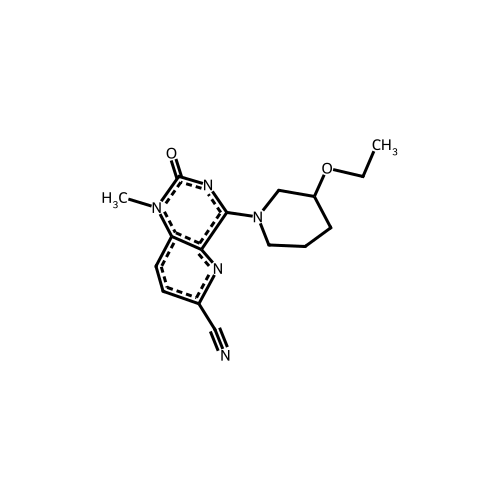 CCOC1CCCN(c2nc(=O)n(C)c3ccc(C#N)nc23)C1